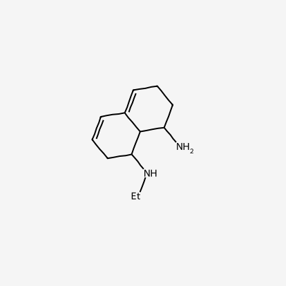 CCNC1CC=CC2=CCCC(N)C21